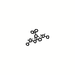 Cc1cnc(-c2cccc(N(c3cccc(-c4cc(-c5ccccc5)c(C)cn4)c3)c3c(C)cc(-n4c5ccccc5c5ccccc54)cc3C)c2)cc1-c1ccccc1